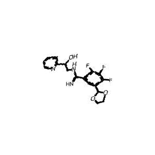 N=C(NCC(O)c1ccccn1)c1cc(C2OCCO2)c(F)c(F)c1F